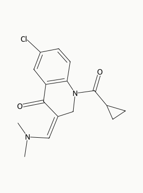 CN(C)C=C1CN(C(=O)C2CC2)c2ccc(Cl)cc2C1=O